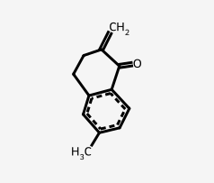 C=C1CCc2cc(C)ccc2C1=O